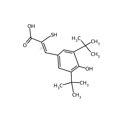 CC(C)(C)c1cc(/C=C(\S)C(=O)O)cc(C(C)(C)C)c1O